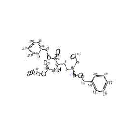 CC(C)(C)OC(=O)NC(CC/C(CCl)=N/OCc1ccccc1)C(=O)OCc1ccccc1